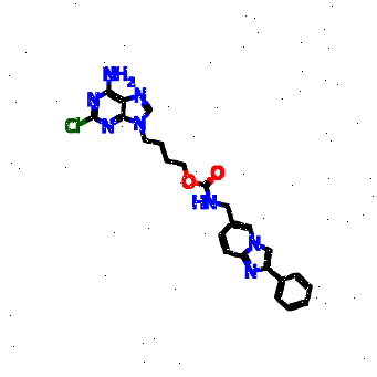 Nc1nc(Cl)nc2c1ncn2CCCCOC(=O)NCc1ccc2nc(-c3ccccc3)cn2c1